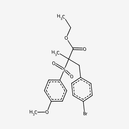 CCOC(=O)C(C)(Cc1ccc(Br)cc1)S(=O)(=O)c1ccc(OC)cc1